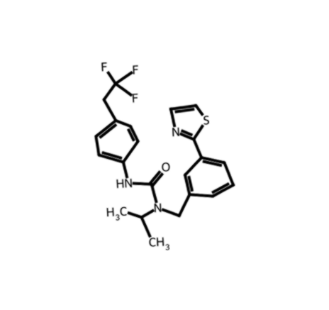 CC(C)N(Cc1cccc(-c2nccs2)c1)C(=O)Nc1ccc(CC(F)(F)F)cc1